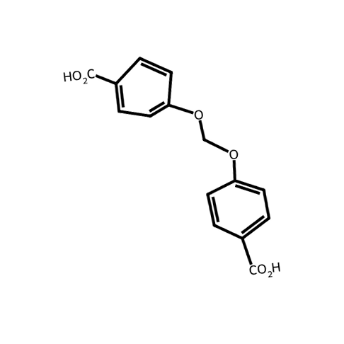 O=C(O)c1ccc(OCOc2ccc(C(=O)O)cc2)cc1